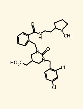 CN1CCCC1CCNC(=O)c1ccccc1CN1CC(CC(=O)O)CN(Cc2ccc(Cl)cc2Cl)C1=O